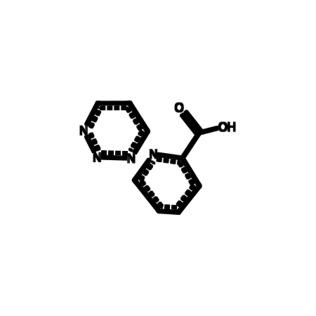 O=C(O)c1ccccn1.c1cnnnc1